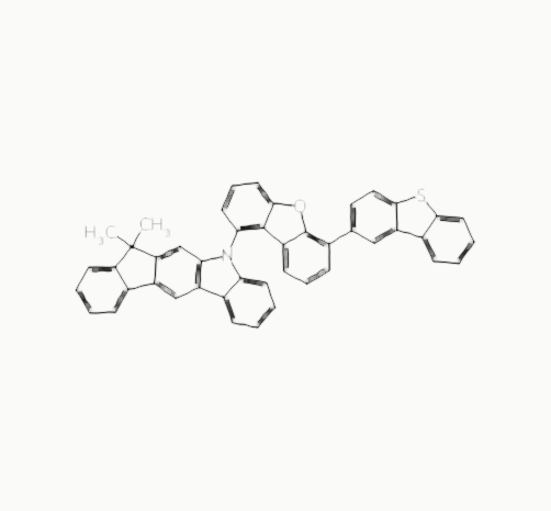 CC1(C)c2ccccc2-c2cc3c4ccccc4n(-c4cccc5oc6c(-c7ccc8sc9ccccc9c8c7)cccc6c45)c3cc21